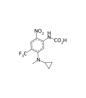 CN(c1cc(NC(=O)O)c([N+](=O)[O-])cc1C(F)(F)F)C1CC1